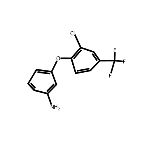 Nc1cccc(Oc2ccc(C(F)(F)F)cc2Cl)c1